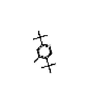 Cc1cc(C(C)(C)I)ncc1C(C)(C)C